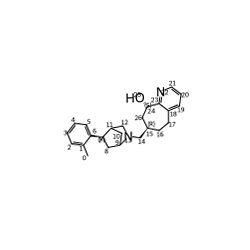 Cc1ccccc1[C@@H]1CC2CC1CN2C[C@@H]1CCc2cccnc2[C@@H](O)C1